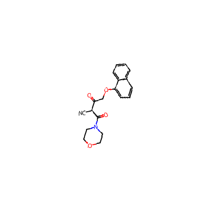 N#CC(C(=O)COc1cccc2ccccc12)C(=O)N1CCOCC1